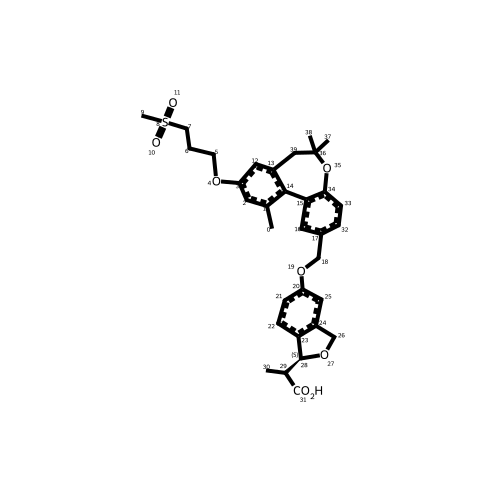 Cc1cc(OCCCS(C)(=O)=O)cc2c1-c1cc(COc3ccc4c(c3)CO[C@H]4C(C)C(=O)O)ccc1OC(C)(C)C2